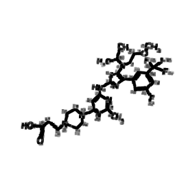 COCCN(c1sc(Nc2cc(N3CCN(CCC(=O)O)CC3)nc(C)n2)nc1-c1cc(F)cc(C(F)(F)F)c1)C(C)C